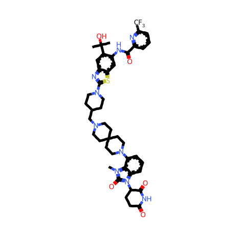 Cn1c(=O)n(C2CCC(=O)NC2=O)c2cccc(N3CCC4(CCN(CC5CCN(c6nc7cc(C(C)(C)O)c(NC(=O)c8cccc(C(F)(F)F)n8)cc7s6)CC5)CC4)CC3)c21